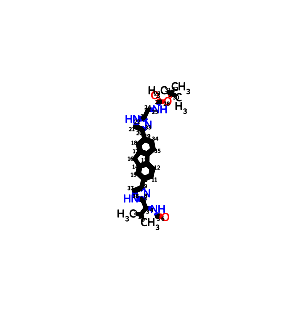 CC(C)C(NC=O)c1nc(-c2ccc3c(c2)Cc2cc(-c4c[nH]c(CNC(=O)OC(C)(C)C)n4)ccc2-3)c[nH]1